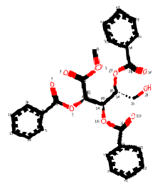 COC(=O)[C@H](OC(=O)c1ccccc1)[C@H](OC(=O)c1ccccc1)[C@@H](CO)OC(=O)c1ccccc1